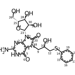 Nc1nc2c(c(=O)[nH]1)n(CC(O)CSc1ccccc1)c(=O)n2[C@@H]1O[C@H](CO)[C@@H](O)[C@H]1O